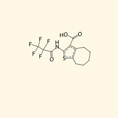 O=C(O)c1c(NC(=O)C(F)(F)C(F)(F)F)sc2c1CCCCC2